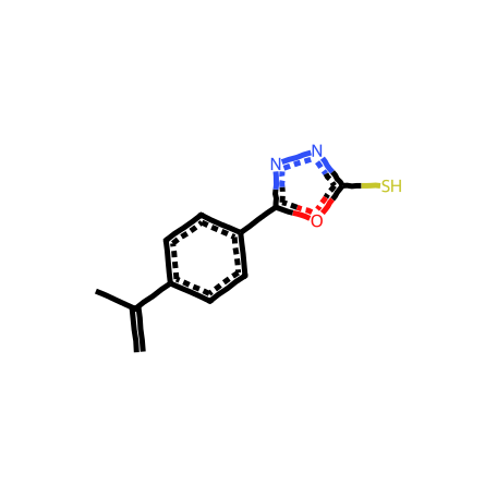 C=C(C)c1ccc(-c2nnc(S)o2)cc1